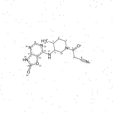 CC1CCN(C(=O)CC#N)CC1Nc1ncnc2[nH]c(=O)oc12